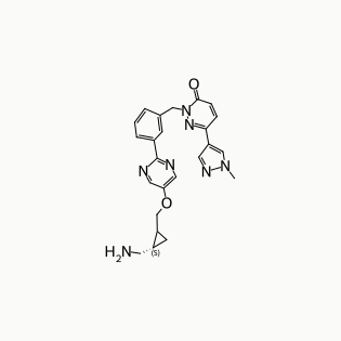 Cn1cc(-c2ccc(=O)n(Cc3cccc(-c4ncc(OCC5C[C@@H]5CN)cn4)c3)n2)cn1